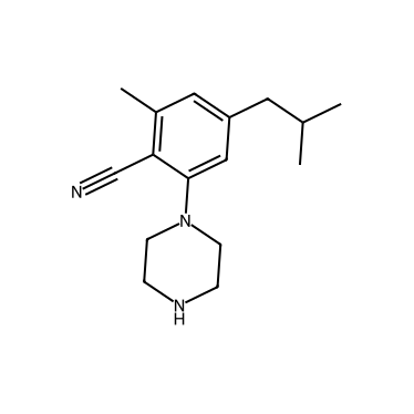 Cc1cc(CC(C)C)cc(N2CCNCC2)c1C#N